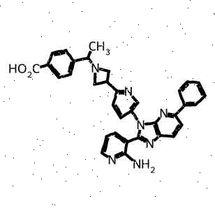 CC(c1ccc(C(=O)O)cc1)N1CC(c2ccc(-n3c(-c4cccnc4N)nc4ccc(-c5ccccc5)nc43)cn2)C1